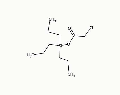 CCC[Si](CCC)(CCC)OC(=O)CCl